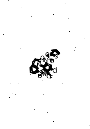 NS(=O)(=O)c1cccc2c1N(c1cc(Cl)c(Cl)cc1NS(=O)(=O)c1cccs1)C(=O)CC2